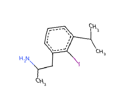 CC(N)Cc1cccc(C(C)C)c1I